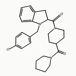 O=C(C1CCN(C(=O)C2Cc3ccccc3N2Cc2ccc(Cl)cc2)CC1)N1CCCCC1